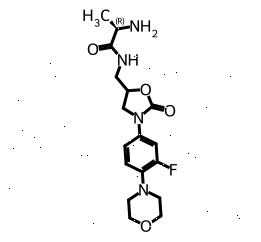 C[C@@H](N)C(=O)NCC1CN(c2ccc(N3CCOCC3)c(F)c2)C(=O)O1